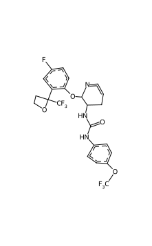 O=C(Nc1ccc(OC(F)(F)F)cc1)NC1CC=C=NC1Oc1ccc(F)cc1C1(C(F)(F)F)CCO1